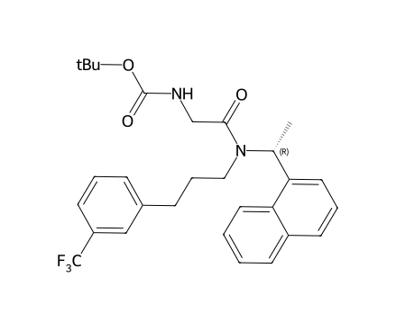 C[C@H](c1cccc2ccccc12)N(CCCc1cccc(C(F)(F)F)c1)C(=O)CNC(=O)OC(C)(C)C